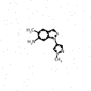 Cc1cc2cnn(-c3cnn(C)c3)c2cc1N